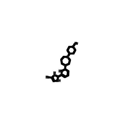 CCC1=CNC(C2=CC=CC(N3CCCN(C4CCN(C(C)C)CC4)CC3)N2)N1